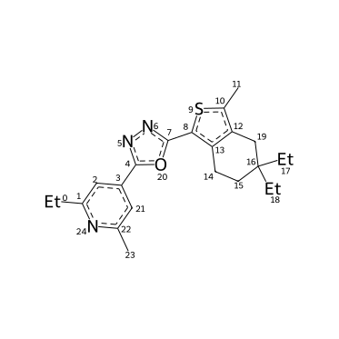 CCc1cc(-c2nnc(-c3sc(C)c4c3CCC(CC)(CC)C4)o2)cc(C)n1